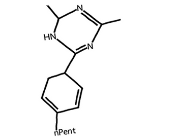 CCCCCC1=CCC(C2=NC(C)=NC(C)N2)C=C1